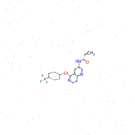 C=CC(=O)Nc1cnc2ccnc(OC3CCC(C(F)(F)F)CC3)c2c1